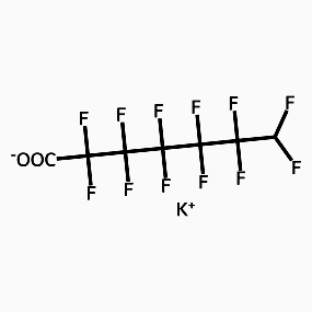 O=C([O-])C(F)(F)C(F)(F)C(F)(F)C(F)(F)C(F)(F)C(F)F.[K+]